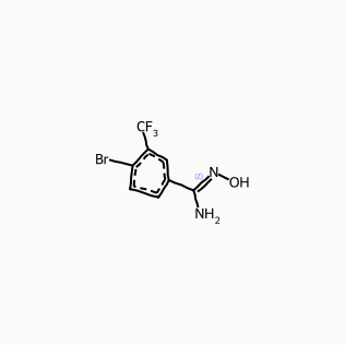 N/C(=N\O)c1ccc(Br)c(C(F)(F)F)c1